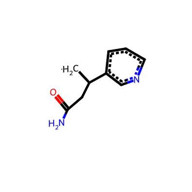 [CH2]C(CC(N)=O)c1cccnc1